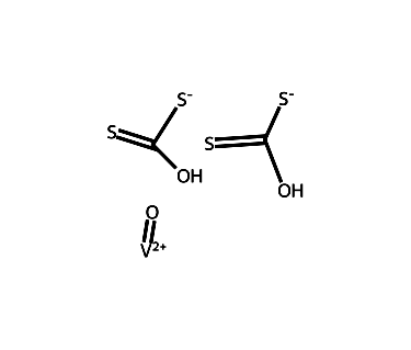 OC(=S)[S-].OC(=S)[S-].[O]=[V+2]